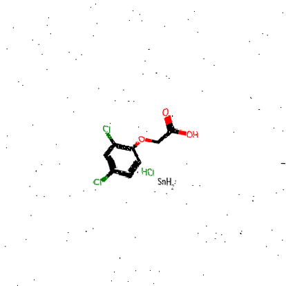 Cl.O=C(O)COc1ccc(Cl)cc1Cl.[SnH2]